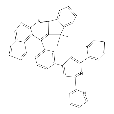 CC1(C)c2ccccc2-c2nc3ccc4ccccc4c3c(-c3cccc(-c4cc(-c5ccccn5)nc(-c5ccccn5)c4)c3)c21